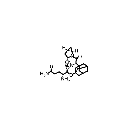 N#C[C@@H]1C[C@@H]2C[C@@H]2N1C(=O)[C@@H](N)C12CC3CC(CC(OC(=O)[C@@H](N)CCC(N)=O)(C3)C1)C2